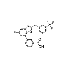 O=C(O)c1cccc(-c2cc(F)cc3cc(Cc4cccc(C(F)(F)F)c4)sc23)c1